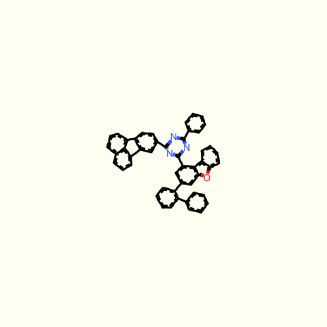 c1ccc(-c2nc(-c3ccc4c(c3)-c3cccc5cccc-4c35)nc(-c3cc(-c4ccccc4-c4ccccc4)cc4oc5ccccc5c34)n2)cc1